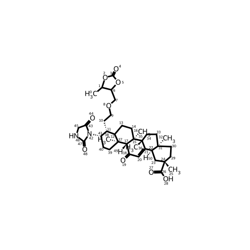 CC1OC(=O)OC1COCC[C@@H]1C2CC[C@]3(C)[C@H](C(=O)C=C4[C@@H]5C[C@@](C)(C(=O)O)CC[C@]5(C)CC[C@]43C)[C@@]2(C)CC[C@@H]1N1C(=O)CNC1=O